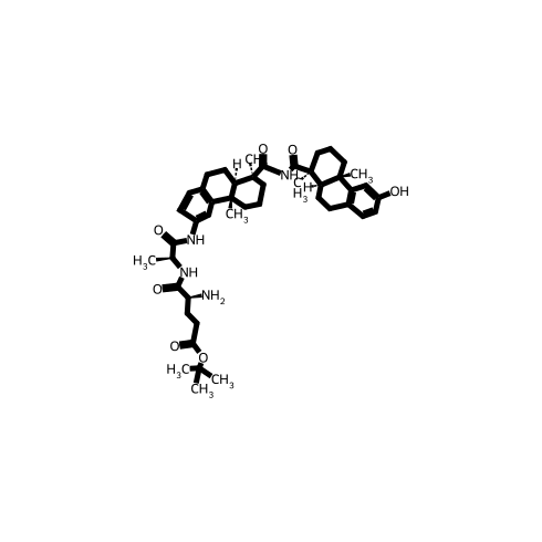 C[C@H](NC(=O)[C@@H](N)CCC(=O)OC(C)(C)C)C(=O)Nc1ccc2c(c1)[C@@]1(C)CCC[C@](C)(C(=O)NC(=O)[C@@]3(C)CCC[C@]4(C)c5cc(O)ccc5CC[C@@H]34)[C@@H]1CC2